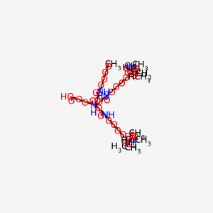 COCCOCCOCCOCCNC(=O)CCOCC(COCCC(=O)NCCOCCOCCOCCOC[C@H]1O[C@@H](OC)[C@H](NC(C)=O)[C@H]2OC(C)(C)O[C@H]21)(COCCC(=O)NCCOCCOCCOCCOC[C@H]1O[C@@H](OC)[C@H](NC(C)=O)[C@H]2OC(C)(C)O[C@H]21)NC(=O)CCOCCOCCC(=O)O